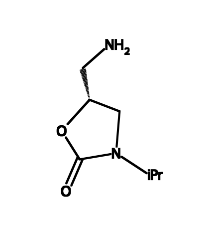 CC(C)N1C[C@@H](CN)OC1=O